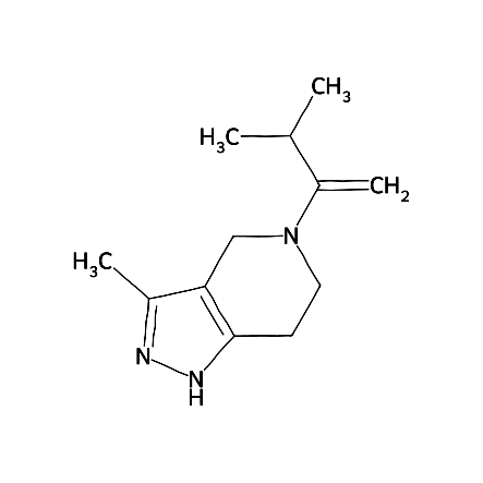 C=C(C(C)C)N1CCc2[nH]nc(C)c2C1